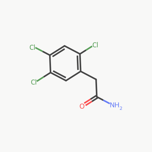 NC(=O)Cc1cc(Cl)c(Cl)cc1Cl